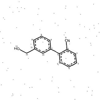 N#Cc1cccnc1-c1cccc(CO)c1